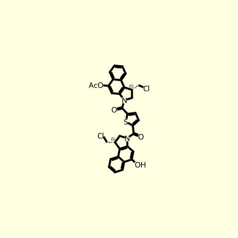 CC(=O)Oc1cc2c(c3ccccc13)[C@H](CCl)CN2C(=O)c1ccc(C(=O)N2C[C@@H](CCl)c3c2cc(O)c2ccccc32)s1